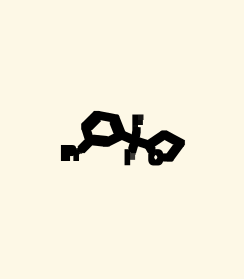 CC(C)c1cccc(C(F)(F)C2CCCO2)c1